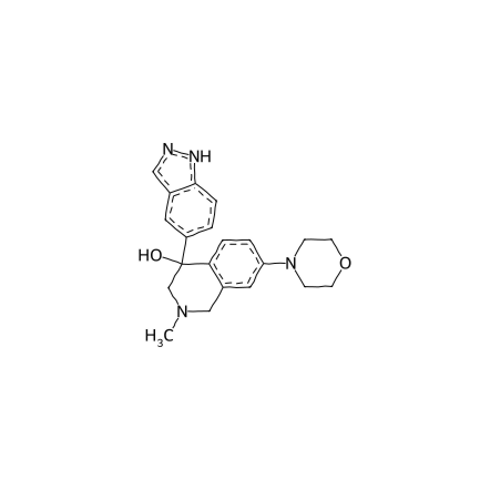 CN1Cc2cc(N3CCOCC3)ccc2C(O)(c2ccc3[nH]ncc3c2)C1